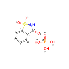 O=C1NS(=O)(=O)c2ccccc21.O=P(O)(O)O